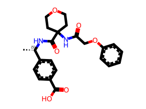 C[C@H](NC(=O)C1(NC(=O)COc2ccccc2)CCOCC1)c1ccc(C(=O)O)cc1